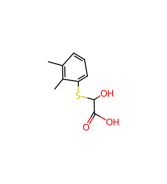 Cc1cccc(SC(O)C(=O)O)c1C